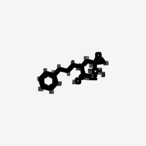 CCC(=O)N(CCCc1ccccc1)CC1(C)CO1